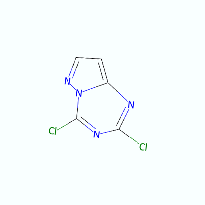 Clc1nc(Cl)n2nccc2n1